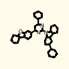 c1ccc(-c2ccc3c(c2)c2ccccc2n3-c2nc(-c3ccccc3)cc(-c3ccc4c(c3)oc3ccccc34)n2)cc1